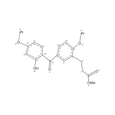 COC(=O)CCc1cc(C(=O)c2ccc(OC(C)C)cc2O)ccc1OC(C)C